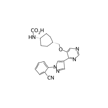 N#Cc1ccccc1-n1cc(-c2ncncc2OC[C@H]2CC[C@@H](NC(=O)O)CC2)cn1